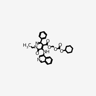 CCn1nc(-c2ccccc2)c(C(=O)OCOC(=O)OC2CCCCC2)c(Nc2cncc3ccccc23)c1=O